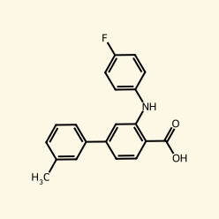 Cc1cccc(-c2ccc(C(=O)O)c(Nc3ccc(F)cc3)c2)c1